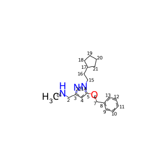 CNCc1cc(OCc2ccccc2)n(CCC2CCCC2)n1